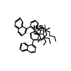 CCC[CH2][Ti]([CH3])([CH3])(=[SiH2])([CH2]CCC)([CH]1C(CC)=Cc2c(-c3cccc4ccccc34)cccc21)[CH]1C(CC)=Cc2c(-c3cccc4ccccc34)cccc21